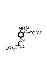 [C-]#[N+]/C(=C\Nc1ccc(NC(C)=O)c(OCCOC)c1)C(=O)OCC